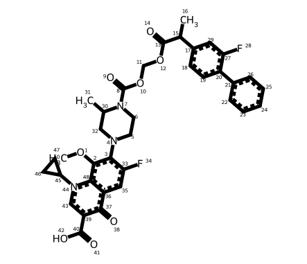 COc1c(N2CCN(C(=O)OCOC(=O)C(C)c3ccc(-c4ccccc4)c(F)c3)C(C)C2)c(F)cc2c(=O)c(C(=O)O)cn(C3CC3)c12